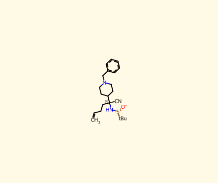 C=CCC[C@@](C#N)(N[S+]([O-])C(C)(C)C)C1CCN(Cc2ccccc2)CC1